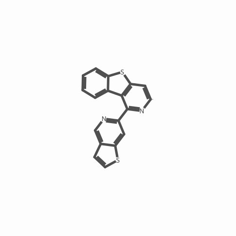 [c]1cc2sc3ccccc3c2c(-c2cc3sccc3cn2)n1